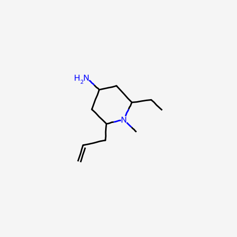 C=CCC1CC(N)CC(CC)N1C